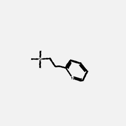 C[Si](C)(C)CCc1ccccn1